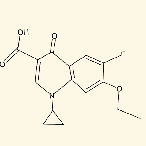 CCOc1cc2c(cc1F)c(=O)c(C(=O)O)cn2C1CC1